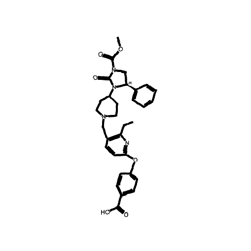 CCc1nc(Oc2ccc(C(=O)O)cc2)ccc1CN1CCC(N2C(=O)N(C(=O)OC)C[C@H]2c2ccccc2)CC1